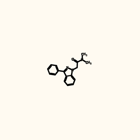 CN(C)C(=O)Cn1nc(-c2ccccc2)c2ccccc21